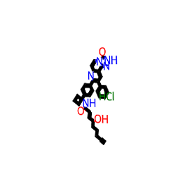 C#CCCCC(O)C=CC(=O)NC1(c2ccc(-c3nc4ccn5c(=O)[nH]nc5c4cc3-c3ccccc3)cc2)CCC1.Cl